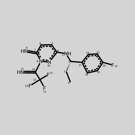 CC[C@H](Nc1ccc(=N)n(C(=N)C(F)(F)F)n1)c1ccc(F)cc1